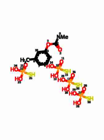 CNC(=O)Oc1cccc(C)c1.O=P(O)(O)S.O=P(O)(O)S.O=P(O)(O)S.O=P(O)(O)S